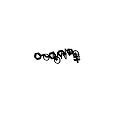 CC(C)(C)[Si](C)(C)O[C@@H]1CCN(c2ccc(-n3ccc(OCc4ccccc4)cc3=O)cn2)C1